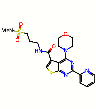 CNS(=O)(=O)CCCNC(=O)c1csc2nc(-c3ccccn3)nc(N3CCOCC3)c12